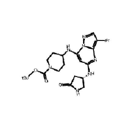 CC(C)c1cnn2c(NC3CCN(C(=O)OC(C)(C)C)CC3)cc(N[C@@H]3CNC(=O)C3)nc12